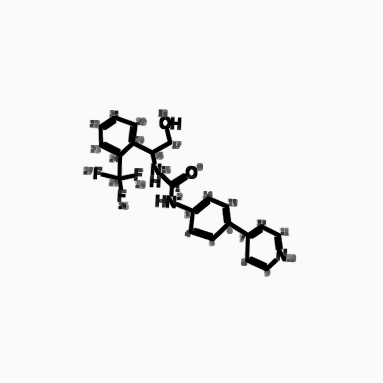 O=C(Nc1ccc(-c2ccncc2)cc1)NC(CO)c1ccccc1C(F)(F)F